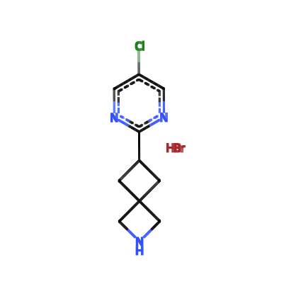 Br.Clc1cnc(C2CC3(CNC3)C2)nc1